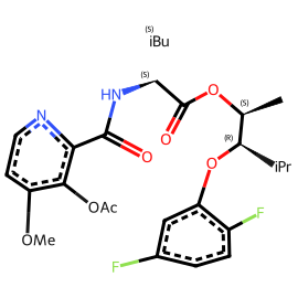 CC[C@H](C)[C@H](NC(=O)c1nccc(OC)c1OC(C)=O)C(=O)O[C@@H](C)[C@H](Oc1cc(F)ccc1F)C(C)C